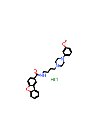 COc1cccc(N2CCN(CCCCNC(=O)c3ccc4oc5ccccc5c4c3)CC2)c1.Cl